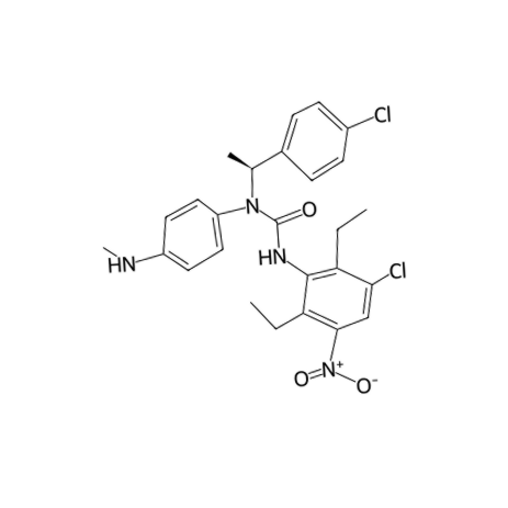 CCc1c(Cl)cc([N+](=O)[O-])c(CC)c1NC(=O)N(c1ccc(NC)cc1)[C@@H](C)c1ccc(Cl)cc1